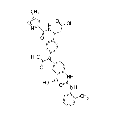 COc1cc(N(C(C)=O)c2ccc(C(CC(=O)O)NC(=O)c3cc(C)on3)cc2)ccc1NC(=O)Nc1ccccc1C